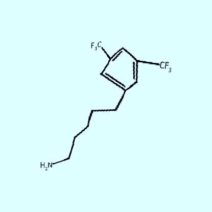 NCCCCCc1cc(C(F)(F)F)cc(C(F)(F)F)c1